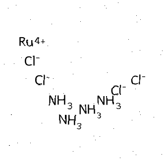 N.N.N.N.[Cl-].[Cl-].[Cl-].[Cl-].[Ru+4]